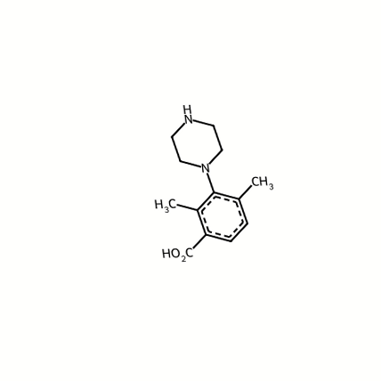 Cc1ccc(C(=O)O)c(C)c1N1CCNCC1